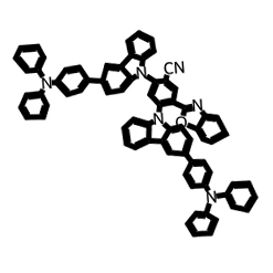 N#Cc1cc(-c2nc3ccccc3o2)c(-n2c3ccccc3c3cc(-c4ccc(N(c5ccccc5)c5ccccc5)cc4)ccc32)cc1-n1c2ccccc2c2cc(-c3ccc(N(c4ccccc4)c4ccccc4)cc3)ccc21